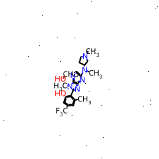 Cc1cc(C(F)(F)F)cc(O)c1-c1nc2nc(N(C)[C@@H]3CCN(C)C3)cnc2n1C.O=CO